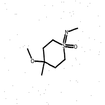 CN=S1(=O)CCC(C)(OC)CC1